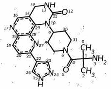 CC(C)(N)C(=O)N1CCC(N2C(=O)NCc3cnc4ccc(-c5cn[nH]c5)nc4c32)CC1